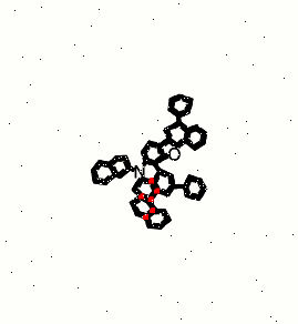 c1ccc(-c2ccc(N(c3ccc4ccccc4c3)c3ccc4c(oc5c6ccccc6c(-c6ccccc6)cc45)c3-c3cc(-c4ccccc4)cc(-c4ccccc4)c3)cc2)cc1